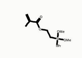 C=C(C)C(=O)OCC[Si](CCC)(OC)OC